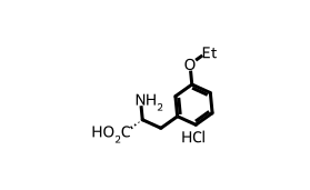 CCOc1cccc(C[C@@H](N)C(=O)O)c1.Cl